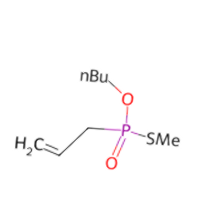 C=CCP(=O)(OCCCC)SC